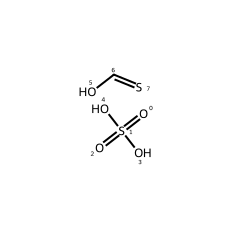 O=S(=O)(O)O.OC=S